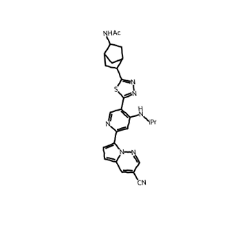 CC(=O)NC1CC2CC1CC2c1nnc(-c2cnc(-c3ccc4cc(C#N)cnn34)cc2NC(C)C)s1